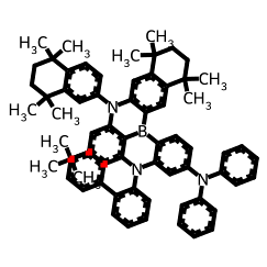 CC(C)(C)c1cc2c3c(c1)N(c1ccccc1-c1ccccc1)c1cc(N(c4ccccc4)c4ccccc4)ccc1B3c1cc3c(cc1N2c1ccc2c(c1)C(C)(C)CCC2(C)C)C(C)(C)CCC3(C)C